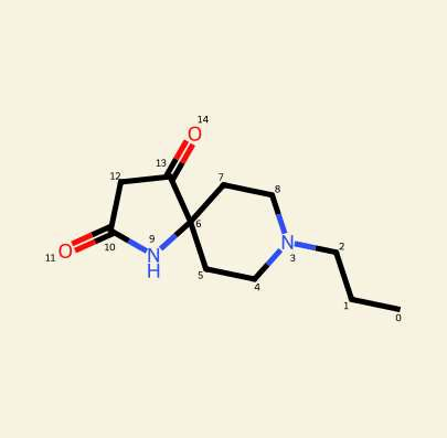 CCCN1CCC2(CC1)NC(=O)CC2=O